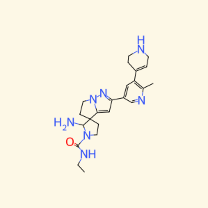 CCNC(=O)N1CCC2(CCn3nc(-c4cnc(C)c(C5=CCNCC5)c4)cc32)C1N